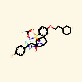 NC1CC2CCC(C1)N2C(=O)[C@@H](N(OC(=O)C(F)(F)F)S(=O)(=O)c1ccc(OCCC2CCCCC2)cc1)C(F)(F)c1ccc(Br)cc1